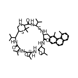 Cc1cccc2ccc3ccc(CC4NCC(C(C)C)NC(=O)C5NCC(SC5(C)C)C(C(C)C)NC(=O)C(C(C)C)NC(=O)[C@H](C(C)C)NC(=O)C(CC(C)C)NC4=O)c(C)c3c12